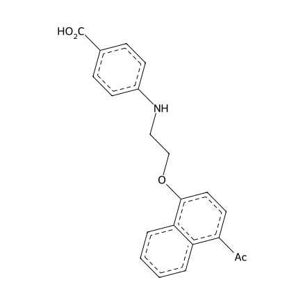 CC(=O)c1ccc(OCCNc2ccc(C(=O)O)cc2)c2ccccc12